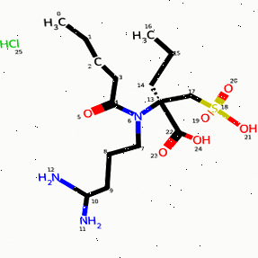 CCCCC(=O)N(CCCC(N)N)[C@@](CCC)(CS(=O)(=O)O)C(=O)O.Cl